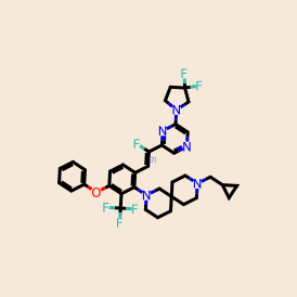 F/C(=C\c1ccc(Oc2ccccc2)c(C(F)(F)F)c1N1CCCC2(CCN(CC3CC3)CC2)C1)c1cncc(N2CCC(F)(F)C2)n1